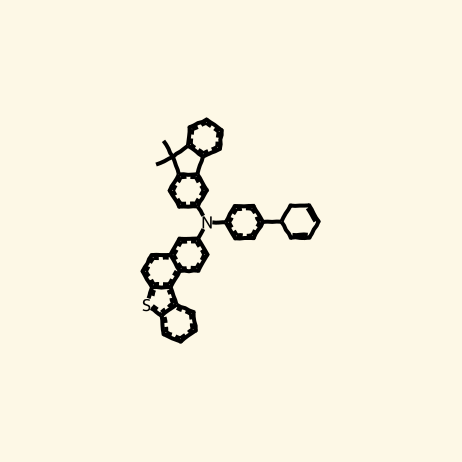 CC1(C)c2ccccc2-c2cc(N(c3ccc(C4C=CC=CC4)cc3)c3ccc4c(ccc5sc6ccccc6c54)c3)ccc21